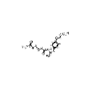 CC(=O)[C@H](Cc1ccc(OCC(=O)O)cc1)NC(=O)CSCCC(N)=O